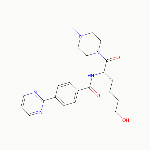 CN1CCN(C(=O)[C@H](CCCCO)NC(=O)c2ccc(-c3ncccn3)cc2)CC1